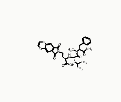 CC(C)C[C@H](N[C@H](CCn1c(=O)c2cc3occoc3cc2c1=O)C(=O)O)C(=O)N(C)[C@@H](Cc1ccccc1)C(N)=O